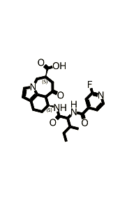 CCC(C)C(NC(=O)c1ccnc(F)c1)C(=O)N[C@H]1CCc2ccn3c2C1C(=O)C[C@H](C(=O)O)C3